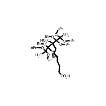 CCCOC(C)(OCCC)C(OCC)(OCCC)C(CCCCCCC(=O)O)(C(=O)O)C(OCC)(OCCC)C(C)(OCCC)OCCC